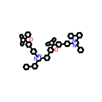 c1ccc(-c2cccc(-c3cc(-c4cccc(-c5ccc6c(c5)Oc5cc(-c7ccc(-c8nc(-c9ccccc9)cc(-c9ccccc9-c9ccccc9)n8)cc7)ccc5C65c6ccccc6-c6ccccc65)c4)nc(-c4ccc(-c5ccc6c(c5)Oc5ccccc5C65c6ccccc6-c6ccccc65)cc4)n3)c2)cc1